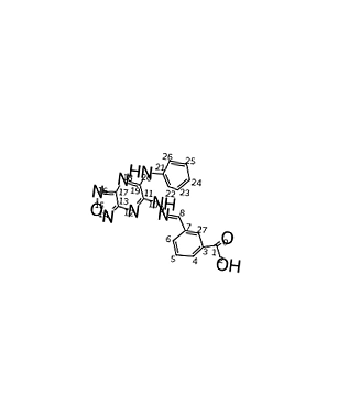 O=C(O)c1cccc(C=NNc2nc3nonc3nc2Nc2ccccc2)c1